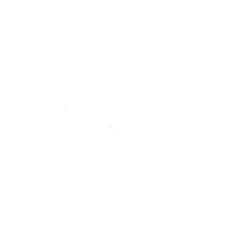 Cc1ccc(-n2cc(C(C)(C)O)c3ccccc32)cc1